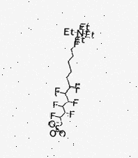 CC[N+](CC)(CC)CC.O=S(=O)([O-])CC(F)C(F)C(F)C(F)C(F)C(F)CCCCCF